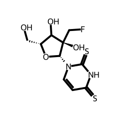 OC[C@H]1O[C@@H](n2ccc(=S)[nH]c2=S)[C@@](O)(CF)C1O